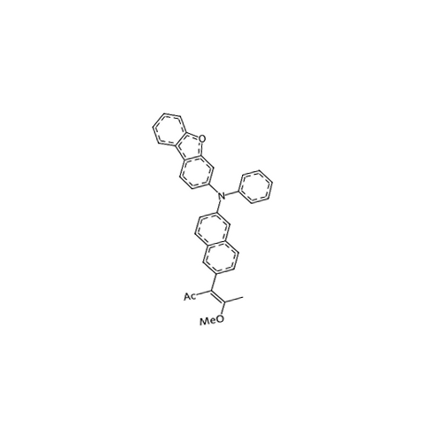 CO/C(C)=C(\C(C)=O)c1ccc2cc(N(c3ccccc3)c3ccc4c(c3)oc3ccccc34)ccc2c1